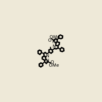 COC(=O)c1cc(-c2ccccc2)c2ccc3c(-c4ccccc4)cc(-c4ccc(-c5cc(-c6ccccc6)c6ccc7c(-c8ccccc8)cc(C(=O)OC)nc7c6n5)c(C)c4)nc3c2n1